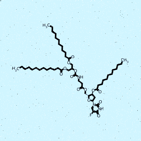 CCCCCCCCCCCCC(=O)OCC(COC(=O)CCCCCCCCCCC)OC(=O)NCCC(=O)OC[C@H]1O[C@@H](n2cc(F)c(=O)[nH]c2=O)C[C@@H]1OC(=O)CCCCCCCCCCC